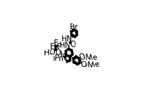 COc1ccc([C@@]23CC[C@@H](NC(=O)Nc4cccc(Br)c4)C[C@@H]2N(C(C)C)CC3)cc1OC.O=C(O)C(F)(F)F